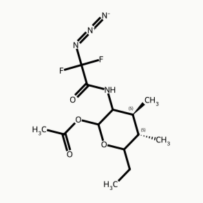 CCC1OC(OC(C)=O)C(NC(=O)C(F)(F)N=[N+]=[N-])[C@@H](C)[C@@H]1C